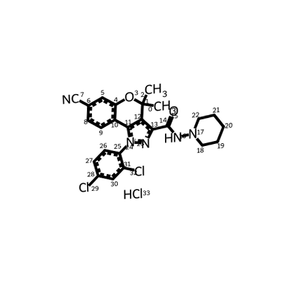 CC1(C)Oc2cc(C#N)ccc2-c2c1c(C(=O)NN1CCCCC1)nn2-c1ccc(Cl)cc1Cl.Cl